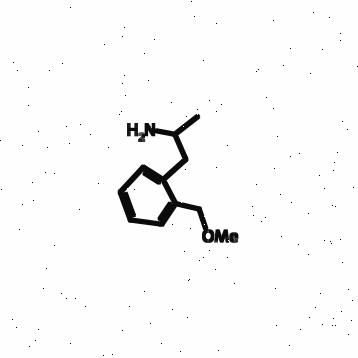 COCc1ccccc1CC(C)N